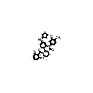 Cc1ccc(N(C=O)C2=CC(NC3CCCC3)=CC[C@@H]2C2CCCCN2C(=O)c2c(C)cccc2F)cc1Cl